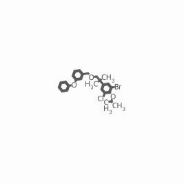 CC(C)Oc1c(Cl)cc(C(C)(C)COCc2cccc(Oc3ccccc3)c2)cc1Br